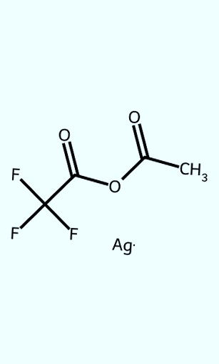 CC(=O)OC(=O)C(F)(F)F.[Ag]